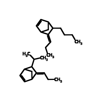 CCC=C1C2C=CC(C2)C1C(C)C.CCC=C1C2C=CC(C2)C1CCCC